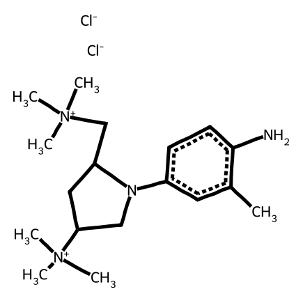 Cc1cc(N2CC([N+](C)(C)C)CC2C[N+](C)(C)C)ccc1N.[Cl-].[Cl-]